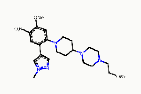 COCCN1CCN(C2CCN(c3cc(OC)c([N+](=O)[O-])cc3-c3cnn(C)c3)CC2)CC1